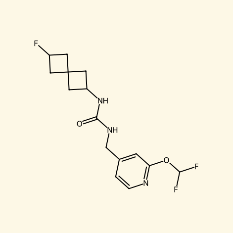 O=C(NCc1ccnc(OC(F)F)c1)NC1CC2(CC(F)C2)C1